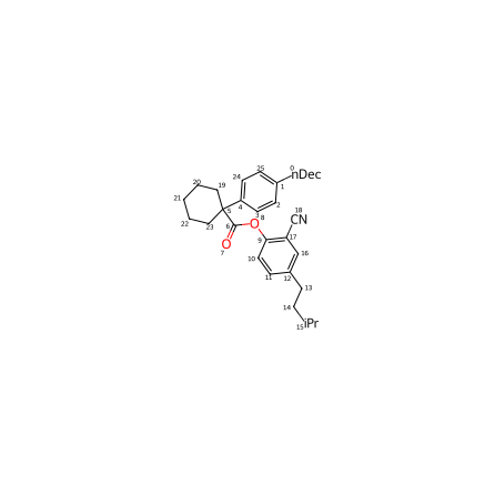 CCCCCCCCCCc1ccc(C2(C(=O)Oc3ccc(CCC(C)C)cc3C#N)CCCCC2)cc1